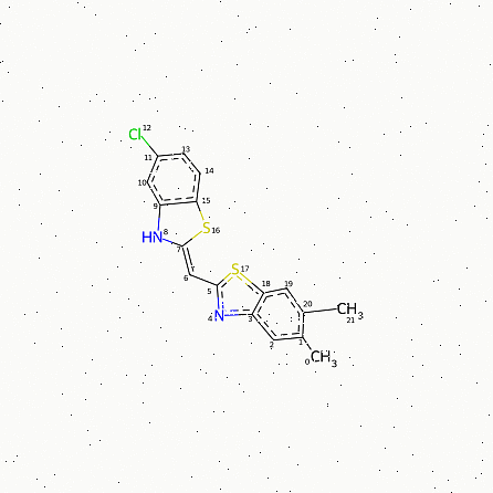 Cc1cc2nc(/C=C3/Nc4cc(Cl)ccc4S3)sc2cc1C